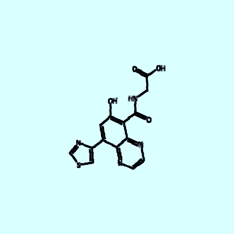 O=C(O)CNC(=O)c1c(O)cc(-c2cscn2)c2nccnc12